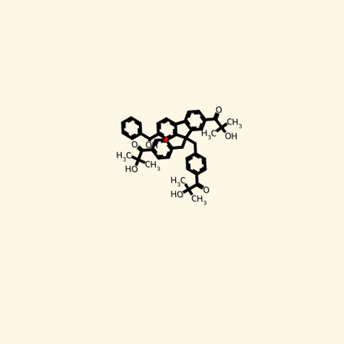 CC(C)(O)C(=O)c1ccc(CC2(Cc3ccc(C(=O)C(C)(C)O)cc3)c3cc(C(=O)C(C)(C)O)ccc3-c3ccc(C(O)c4ccccc4)cc32)cc1